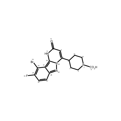 O=C(O)N1CCC(c2cc(=O)[nH]c3c4c(Br)c(F)ccc4nn23)CC1